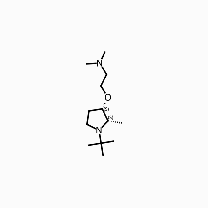 C[C@H]1[C@@H](OCCN(C)C)CCN1C(C)(C)C